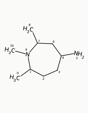 CC1CCC(N)CC(C)N1C